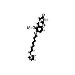 COc1c(OCCCCCCCCn2ccnc2)ccc2c1CN1CC(=O)NC1=N2